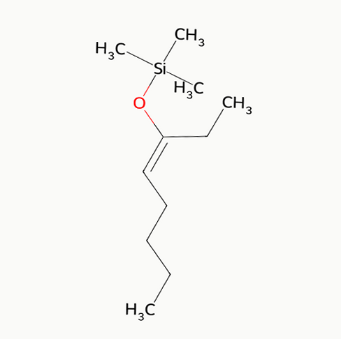 CCCC/C=C(\CC)O[Si](C)(C)C